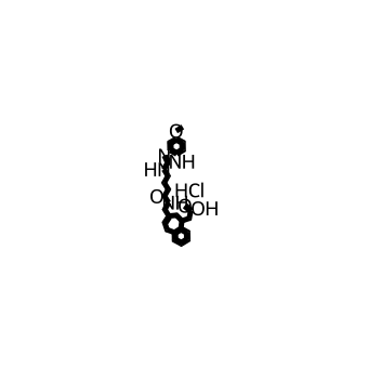 COc1ccc2[nH]c(NCCCC(=O)NCC3=CCc4ccccc4C(CC(=O)O)C3)nc2c1.Cl